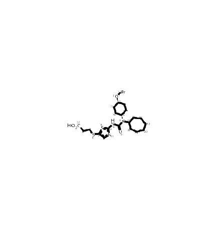 CC(C)O[C@H]1CC[C@H](N(C(=O)Nc2ncc(SCCC(=O)O)s2)C2CCCCCC2)CC1